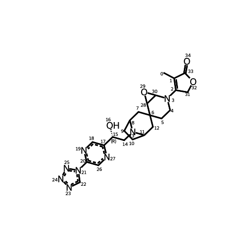 CC1=C(N2CCC3(CC4CCC(C3)N4C[C@@H](O)c3cnc(-n4cnnn4)cn3)C3OC32)COC1=O